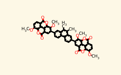 COc1ccc2c(=O)oc3c(OC)c(-c4ccc5c(c4)c(C)c(C)c4cc(-c6cc7c(=O)oc8c(OC)ccc9c(=O)oc(c6OC)c7c89)ccc45)cc4c(=O)oc1c2c34